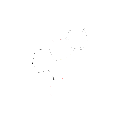 COC(=O)C1CCCCC1Sc1ccc(C)cc1Br